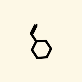 [C]=CC1CCCCC1